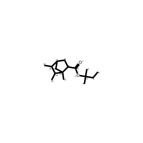 CCC(C)(C)OC(=O)C1CC2CC1(C)C(C)C2C